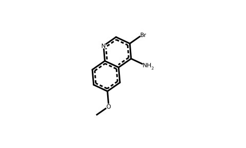 COc1ccc2ncc(Br)c(N)c2c1